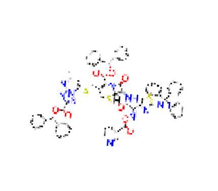 Cc1cc(SCC2=C(C(=O)OC(c3ccccc3)c3ccccc3)N3C(=O)[C@@H](NC(=O)/C(=N\OC(=O)c4cccnc4)c4csc(NC(c5ccccc5)(c5ccccc5)c5ccccc5)n4)[C@H]3SC2)n2nc(C(=O)OC(c3ccccc3)c3ccccc3)nc2n1